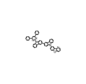 c1ccc(-c2cc(-c3ccccc3)nc(-n3c4ccccc4c4cc(-c5ccc6c(c5)c5ccccc5n6-c5ccc6oc7cccnc7c6c5)ccc43)n2)cc1